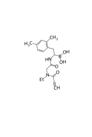 C#CC(=O)N(CC)CC(=O)NC(Cc1ccc(C)cc1C)B(O)O